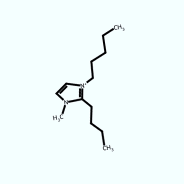 CCCCC[n+]1ccn(C)c1CCCC